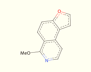 COc1nccc2c1ccc1occc12